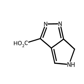 O=C(O)C1=NN=C2CNC=C21